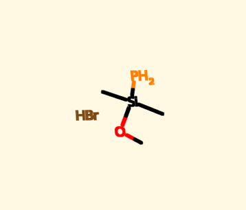 Br.CO[Si](C)(C)P